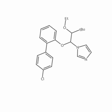 CCOC(C(Oc1ccccc1-c1ccc(Cl)cc1)n1ccnc1)C(C)(C)C